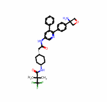 CC(C)(C(=O)N[C@H]1CC[C@H](CC(=O)Nc2cnc(-c3ccc(C4(N)COC4)cc3)c(-c3ccccc3)c2)CC1)C(F)(F)F